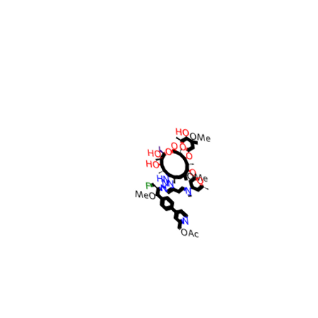 CO[C@H](c1ccc(-c2ccnc(COC(C)=O)c2)cc1)[C@@H](CF)n1cc(CCN(C)[C@@H]2C[C@H](O[C@@H]3[C@@H](C)[C@H](O[C@H]4C[C@@](C)(OC)[C@@H](O)[C@H](C)O4)[C@@H](C)C(=O)O[C@H](I)[C@@](C)(O)[C@H](O)[C@@H](C)C(=N)[C@H](C)C[C@@]3(C)OC)O[C@H](C)C2)nn1